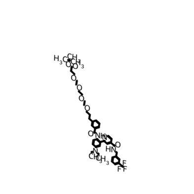 CCN(CC)c1ccc(NC(=O)c2cccc(CCCOCCOCCOCCOCCC(=O)OC(C)(C)C)c2)c(-c2cc(C(=O)NCc3cccc(C(F)(F)F)c3)ccn2)c1